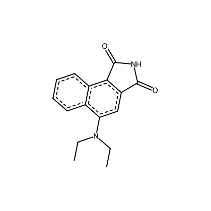 CCN(CC)c1cc2c(c3ccccc13)C(=O)NC2=O